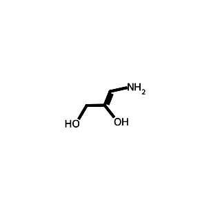 NC=C(O)CO